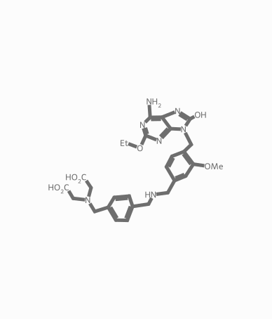 CCOc1nc(N)c2nc(O)n(Cc3ccc(CNCc4ccc(CN(CC(=O)O)CC(=O)O)cc4)cc3OC)c2n1